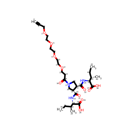 C#CCOCCOCCOCCOCCC(=O)N1C[C@@H](C(=O)N[C@H](C(=O)O)[C@@H](C)CC)[C@H](C(=O)N[C@H](C(=O)O)[C@@H](C)CC)C1